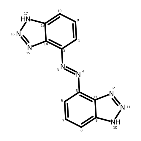 c1cc(N=Nc2cccc3[nH]nnc23)c2nn[nH]c2c1